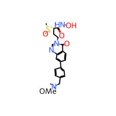 CON(C)Cc1ccc(-c2ccc3c(=O)n(CC[C@](C)(C(=O)NO)[S+](C)[O-])cnc3c2)cc1